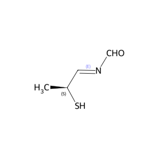 C[C@H](S)/C=N/C=O